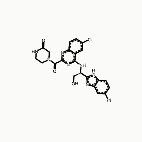 O=C1CN(C(=O)c2nc(N[C@H](CO)c3nc4cc(Cl)ccc4[nH]3)c3cc(Cl)ccc3n2)CCN1